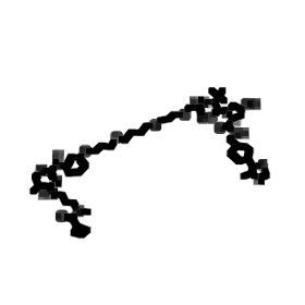 Cc1cnc(Nc2cccc(OCCCOCCCCOCCCOCC(=O)N[C@H](C(=O)N3C[C@H](O)C[C@H]3C(=O)NCc3ccc(-c4scnc4C)cc3)C(C)(C)C)c2)nc1NCCCN(C)C(=O)C1CCC1